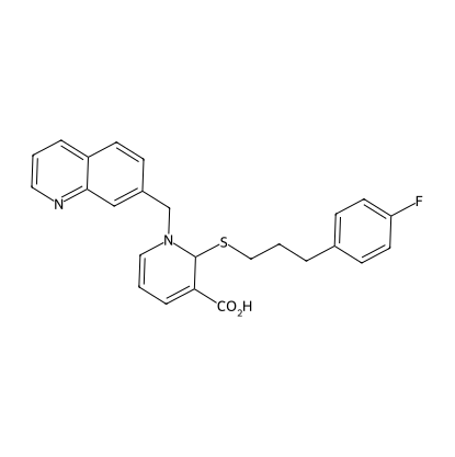 O=C(O)C1=CC=CN(Cc2ccc3cccnc3c2)C1SCCCc1ccc(F)cc1